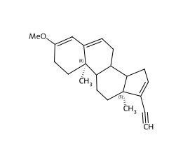 C#CC1=CCC2C3CC=C4C=C(OC)CC[C@]4(C)C3CC[C@]12C